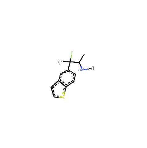 CCNC(C)C(F)(c1ccc2sccc2c1)C(F)(F)F